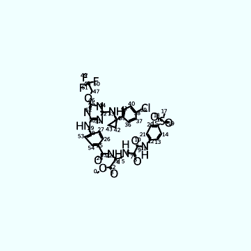 COC(=O)[C@H](CNC(=O)C(=O)Nc1ccc(S(C)(=O)=O)cc1)NC(=O)c1ccc(Nc2nc(NC3(c4ccc(Cl)cc4)CC3)nc(OCC(F)(F)F)n2)cc1